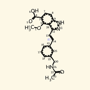 COc1c(C(=O)O)ccc2[nH]nc(/C=C/c3cccc(CNC(C)=O)c3)c12